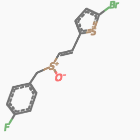 [O-][S+](C=Cc1ccc(Br)s1)Cc1ccc(F)cc1